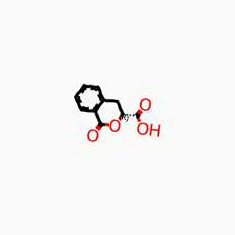 O=C1O[C@@H](C(=O)O)Cc2ccccc21